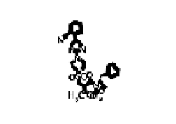 CC(C)C(CS(=O)(=O)N1CCN(c2ncc(-c3ccccc3C#N)cn2)CC1)C(=O)N1C(=O)OC[C@H]1Cc1ccccc1